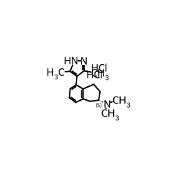 Cc1n[nH]c(C)c1-c1cccc2c1CC[C@H](N(C)C)C2.Cl.Cl